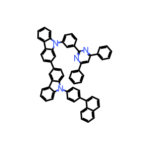 c1ccc(-c2cc(-c3ccccc3)nc(-c3cccc(-n4c5ccccc5c5ccc(-c6ccc7c(c6)c6ccccc6n7-c6ccc(-c7cccc8ccccc78)cc6)cc54)c3)n2)cc1